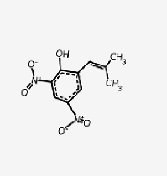 CC(C)=Cc1cc([N+](=O)[O-])cc([N+](=O)[O-])c1O